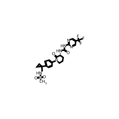 CS(=O)(=O)NCC1(c2ccc(N3CCC[C@@H](NC(=O)Nc4ncc(C(F)(F)F)cn4)C3=O)cc2)CC1